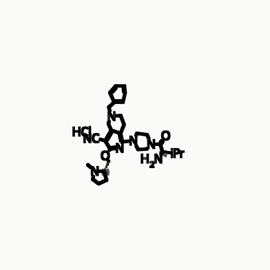 CC(C)[C@@H](N)C(=O)N1CCN(c2nc(OC[C@@H]3CCCN3C)c(C#N)c3c2CCN(Cc2ccccc2)C3)CC1.Cl